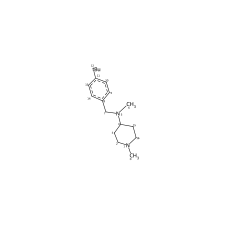 CN1CCC(N(C)Cc2ccc(C(C)(C)C)cc2)CC1